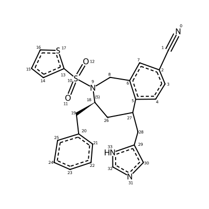 N#Cc1ccc2c(c1)CN(S(=O)(=O)c1cccs1)[C@H](Cc1ccccc1)CC2Cc1cnc[nH]1